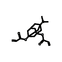 C=CC(=O)OC12CC3CC(OC(=O)C=C)(C1)CC(N(C)C)(C3)C2